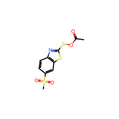 CC(=O)OSc1nc2ccc(S(C)(=O)=O)cc2s1